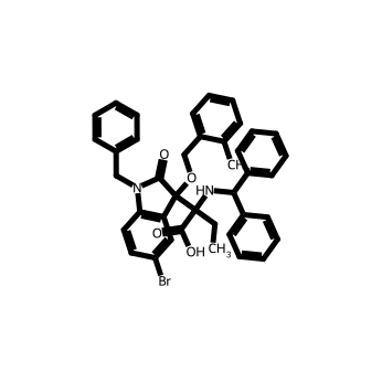 CCC(NC(c1ccccc1)c1ccccc1)(C(=O)O)C1(OCc2ccccc2C)C(=O)N(Cc2ccccc2)c2ccc(Br)cc21